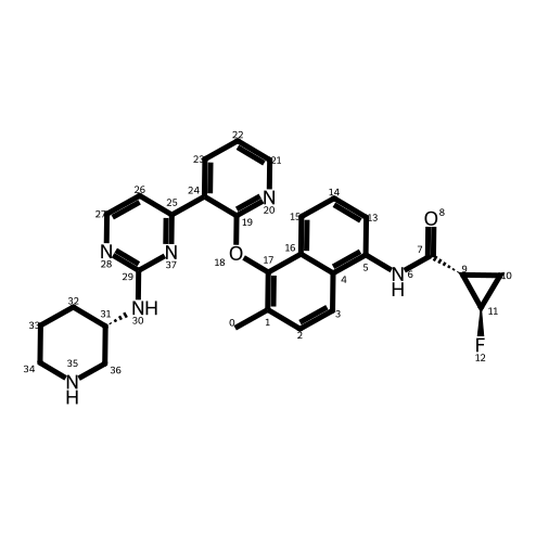 Cc1ccc2c(NC(=O)[C@@H]3C[C@H]3F)cccc2c1Oc1ncccc1-c1ccnc(N[C@H]2CCCNC2)n1